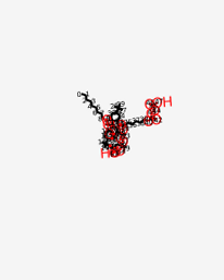 CCCCCCCCCOOC(C1CCC(C(C)(C)C)CC1)(C1CCC(C(C)(C)C)CC1)C(CCCCCCCOC(=O)OOC(=O)O)C(C(C)=O)C(C)(OO)OOC(C)(CC(C)=O)OO